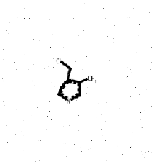 FC(F)(F)c1cnccc1CCl